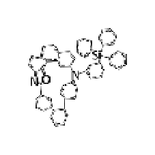 c1ccc(-c2ccc(N(c3cccc([Si](c4ccccc4)(c4ccccc4)c4ccccc4)c3)c3ccc4ccc5ccc6nc(-c7ccccc7)oc6c5c4c3)cc2)cc1